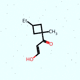 CCC1CC(C)(C(=O)/C=C/O)C1